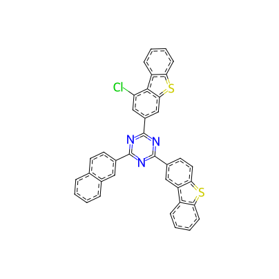 Clc1cc(-c2nc(-c3ccc4ccccc4c3)nc(-c3ccc4sc5ccccc5c4c3)n2)cc2sc3ccccc3c12